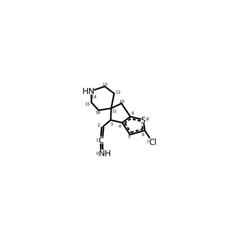 N=C=CC1c2cc(Cl)sc2CC12CCNCC2